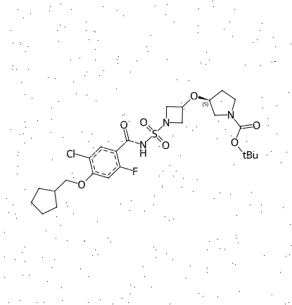 CC(C)(C)OC(=O)N1CC[C@H](OC2CN(S(=O)(=O)NC(=O)c3cc(Cl)c(OCC4CCCC4)cc3F)C2)C1